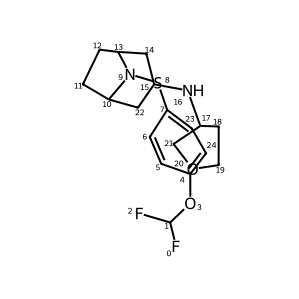 FC(F)Oc1ccc(SN2C3CCC2CC(NC2CCOC2)C3)cc1